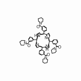 O=C(c1cccc(-c2c3nc(c(-c4cccc(C(=O)N5CCCCC5)c4)c4ccc([nH]4)c(-c4cccc(C(=O)N5CCCCC5)c4)c4nc(c(-c5cccc(C(=O)N6CCCCC6)c5)c5ccc2[nH]5)C=C4)C=C3)c1)N1CCCCC1